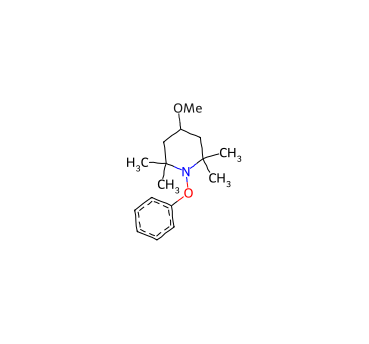 COC1CC(C)(C)N(Oc2ccccc2)C(C)(C)C1